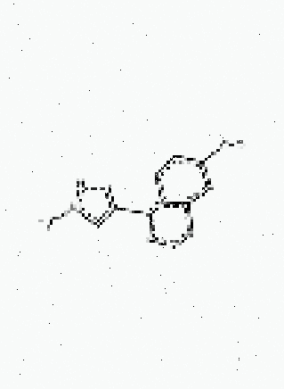 Cn1cc(-c2cccc3cc([C]=O)ccc23)cn1